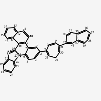 C1=CC(c2ccc3c(c2)c2ccc4ccccc4c2c2nc4ccccc4n32)=CCC=C1c1ccc2ccccc2c1